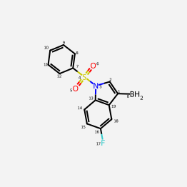 Bc1cn(S(=O)(=O)c2ccccc2)c2ccc(F)cc12